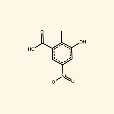 Cc1c(O)cc([N+](=O)[O-])cc1C(=O)O